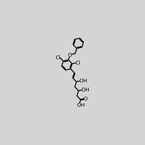 O=C(O)CC(O)CC(O)C=Cc1ccc(Cl)c(OCc2ccccc2)c1Cl